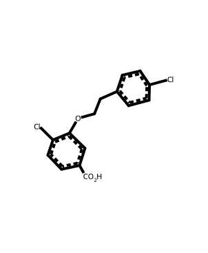 O=C(O)c1ccc(Cl)c(OCCc2ccc(Cl)cc2)c1